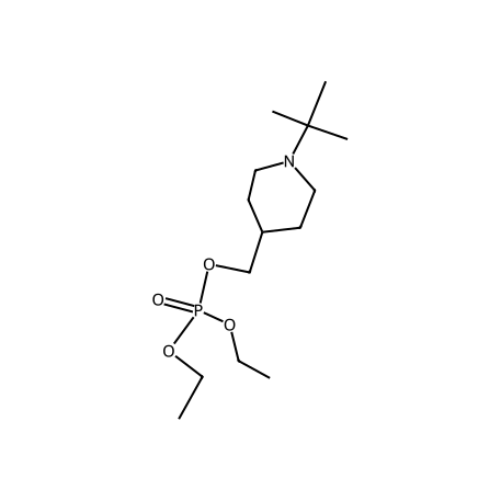 CCOP(=O)(OCC)OCC1CCN(C(C)(C)C)CC1